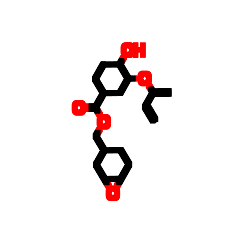 C=CC(=C)OC1CC(C(=O)OCC2CCC3OC3C2)CCC1O